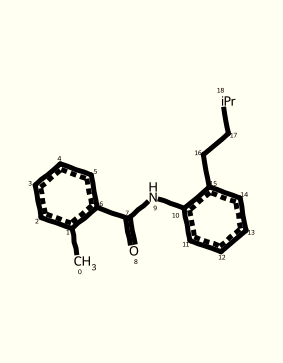 Cc1ccccc1C(=O)Nc1ccccc1CCC(C)C